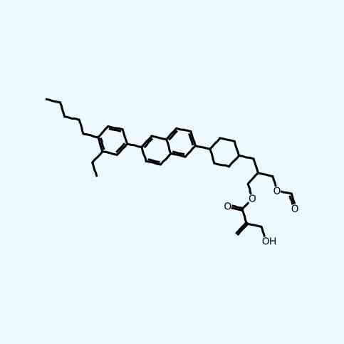 C=C(CO)C(=O)OCC(COC=O)CC1CCC(c2ccc3cc(-c4ccc(CCCCC)c(CC)c4)ccc3c2)CC1